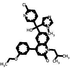 CCOc1cccc(-c2cc(=O)n(CC(C)C)c3ccc(C(O)(c4ccc(Cl)nc4)c4cncn4C)cc23)c1